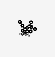 CC1(C)c2ccccc2-c2c(N(c3ccc(-c4ccccc4)cc3)c3ccc4c(c3)cc(-c3ccccc3)n3nc(-c5ccccc5)c(-c5ccccc5)c43)cccc21